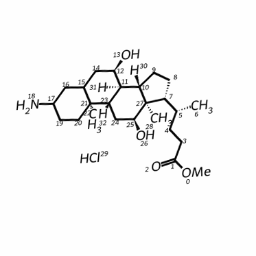 COC(=O)CC[C@@H](C)[C@H]1CC[C@H]2[C@@H]3[C@H](O)CC4CC(N)CC[C@]4(C)[C@H]3C[C@H](O)[C@]12C.Cl